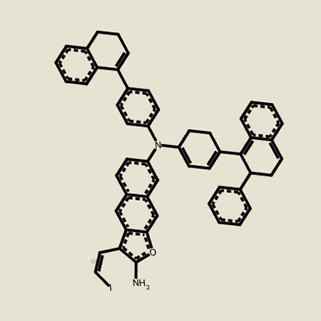 Nc1oc2cc3cc(N(C4=CC=C(C5=c6ccccc6=CCC5c5ccccc5)CC4)c4ccc(C5=CCCc6ccccc65)cc4)ccc3cc2c1/C=C\I